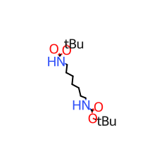 CC(C)(C)OC(=O)NCCCCCCCNC(=O)OC(C)(C)C